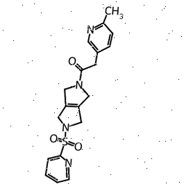 Cc1ccc(CC(=O)N2CC3=C(C2)CN(S(=O)(=O)c2ccccn2)C3)cn1